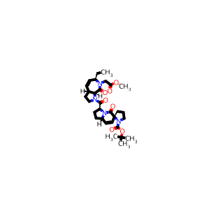 CC[C@@H]1C=C[C@H]2CCN(C(=O)[C@@H]3CC[C@H]4C=C[C@]5(CCCN5C(=O)OC(C)(C)C)C(=O)N43)[C@@H]2C(=O)N1CC(=O)OC